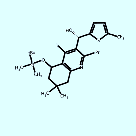 CC(C)c1nc2c(c(I)c1[C@H](O)c1ccc(C(F)(F)F)s1)C(O[Si](C)(C)C(C)(C)C)CC(C)(C)C2